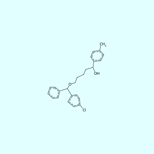 Cc1ccc(C(O)CCCCOC(c2ccccc2)c2ccc(Cl)cc2)cc1